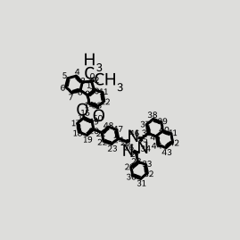 CC1(C)c2ccccc2-c2c1ccc1c2Oc2cccc(-c3ccc(-c4nc(-c5ccccc5)nc(-c5cccc6ccccc56)n4)cc3)c2O1